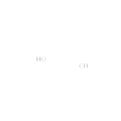 C[C@H](c1ccccc1)C1(O)CCCCC1